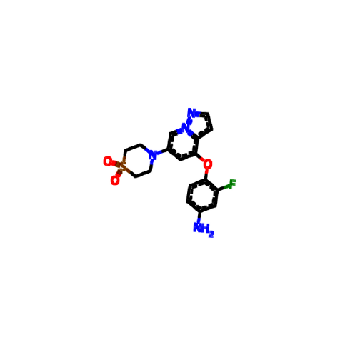 Nc1ccc(Oc2cc(N3CCS(=O)(=O)CC3)cn3nccc23)c(F)c1